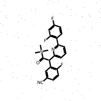 C[Si](C)(C)C(=O)C(c1cccc(-c2ccc(F)cc2F)n1)c1cc(C#N)ccc1F